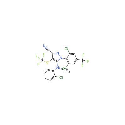 C=[N+](C1=CCCC=C1Cl)c1c(SC(F)(F)F)c(C#N)nn1-c1c(Cl)cc(C(F)(F)F)cc1Cl